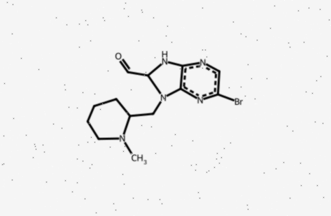 CN1CCCCC1CN1c2nc(Br)cnc2NC1C=O